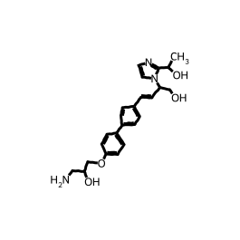 CC(O)c1nccn1C(/C=C/c1ccc(-c2ccc(OCC(O)CN)cc2)cc1)CO